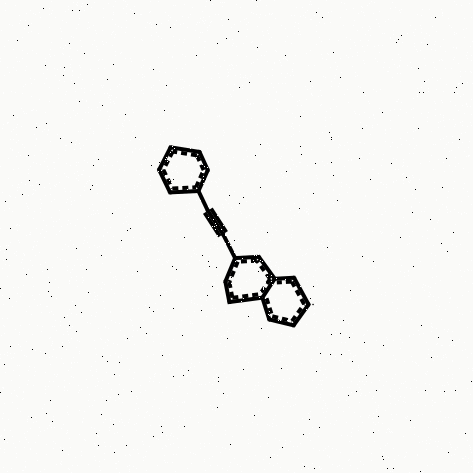 C(#Cc1ccc2cc[c]cc2c1)c1ccccc1